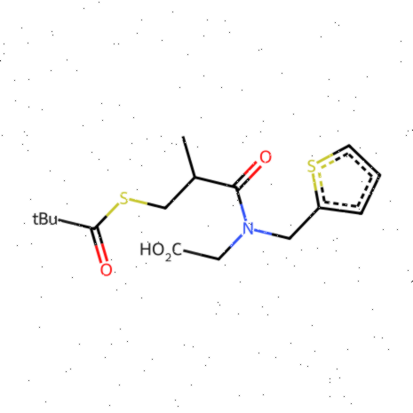 CC(CSC(=O)C(C)(C)C)C(=O)N(CC(=O)O)Cc1cccs1